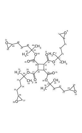 CC(C)(CCCC1CO1)OC(=O)C1C(C(=O)OC(C)(C)CCCC2CO2)C(C(=O)OC(C)(C)CCCC2CO2)C1C(=O)OC(C)(C)CCCC1CO1